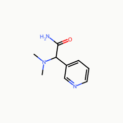 CN(C)C(C(N)=O)c1cccnc1